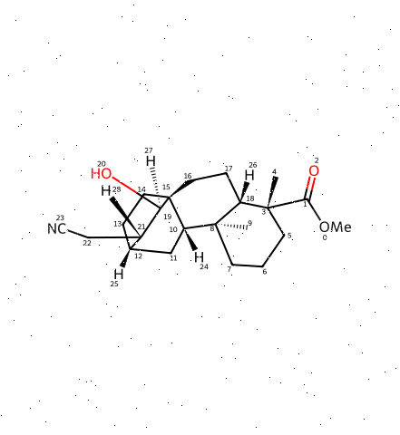 COC(=O)[C@]1(C)CCC[C@@]2(C)[C@@H]3C[C@@H]4CC[C@@]3(CC[C@@H]21)[C@H](O)[C@H]4CC#N